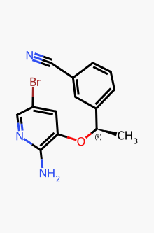 C[C@@H](Oc1cc(Br)cnc1N)c1cccc(C#N)c1